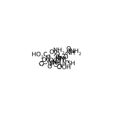 NC(=O)CC[C@H](NC(=O)[C@H](CCCNC(N)=O)NC(=O)[C@@H](N)CS)C(=O)N[C@@H](Cc1ccc(O)cc1)C(=O)N[C@@H](Cc1ccccc1)C(=O)N1CC[C@H]1C(=O)O